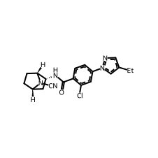 CCc1cnn(-c2ccc(C(=O)N[C@@H]3C[C@@H]4CC[C@H]3N4C#N)c(Cl)c2)c1